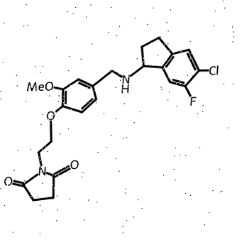 COc1cc(CNC2CCc3cc(Cl)c(F)cc32)ccc1OCCN1C(=O)CCC1=O